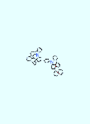 c1ccc(-c2ccc(-c3ccccc3N(c3ccc(-c4ccccc4)cc3)c3ccc(-c4ccc5c(c4)-n4c6ccccc6c6cccc(c64)C54c5ccccc5-c5ccccc54)cc3)cc2)cc1